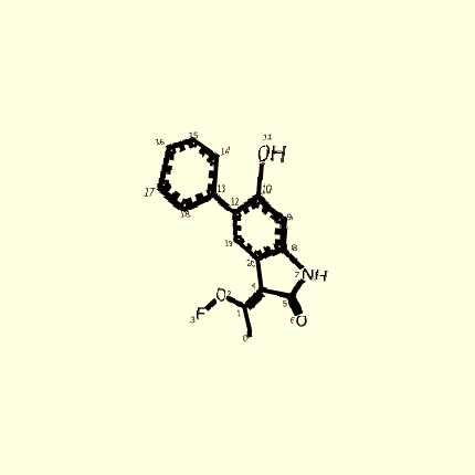 C/C(OF)=C1\C(=O)Nc2cc(O)c(-c3ccccc3)cc21